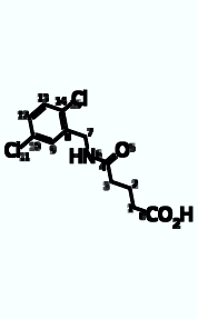 O=C(O)CCCC(=O)NCc1cc(Cl)ccc1Cl